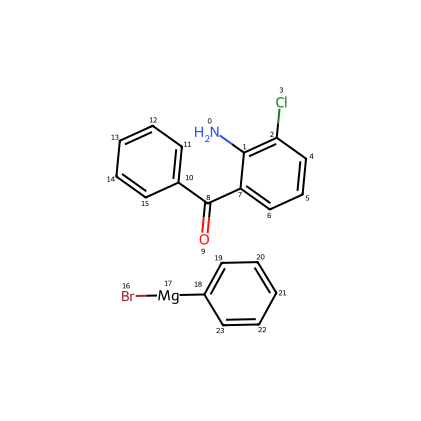 Nc1c(Cl)cccc1C(=O)c1ccccc1.[Br][Mg][c]1ccccc1